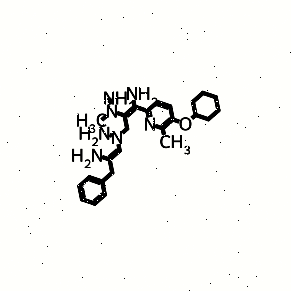 Cc1nc(/C(N)=C(\CN(N)/C=C(\N)Cc2ccccc2)N(C)N)ccc1OC1CCCCC1